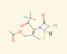 CC(=O)OCC1=C(C(=O)C(C)(C)C)N2C(=O)[C@H](Cl)[C@H]2SC1